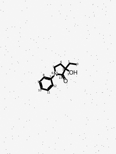 [CH2]CC1(O)CCN(c2ccccc2)C1=O